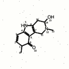 CC1C=Cc2[nH]c3c(c2C1=O)CN(C)C(O)C3